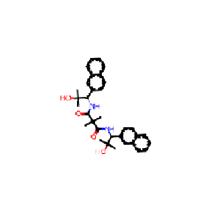 CC(C)(C(=O)N[C@@H](c1ccc2ccccc2c1)C(C)(C)O)C(=O)N[C@@H](c1ccc2ccccc2c1)C(C)(C)O